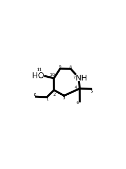 CCC1CC(C)(C)NCCC1O